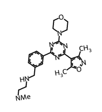 CNCCNCc1cccc(-c2nc(-c3c(C)noc3C)nc(N3CCOCC3)n2)c1